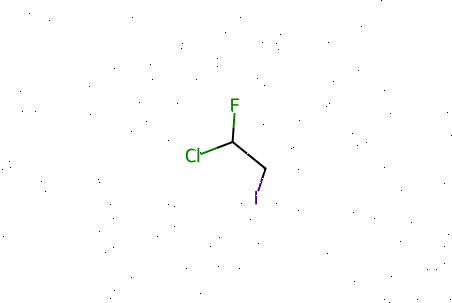 FC(Cl)CI